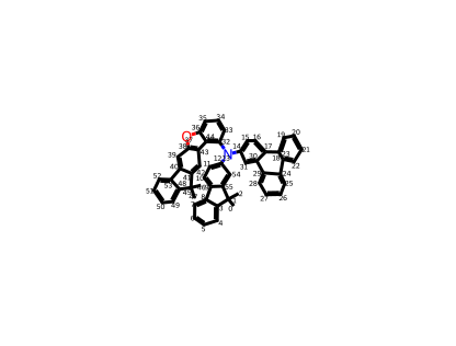 CC1(C)c2ccccc2-c2ccc(N(c3ccc4c5ccccc5c5ccccc5c4c3)c3cccc4oc5cc6c(cc5c34)C(C)(C)c3ccccc3-6)cc21